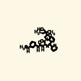 CCC(C)(CO)C(=O)CN1C(=O)[C@H](NC(=O)Nc2cccc(NC)c2)N=C(c2ccccn2)c2ccccc21